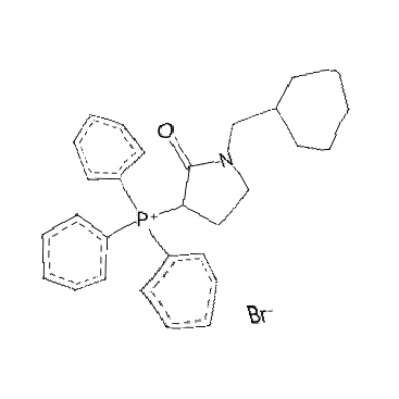 O=C1C([P+](c2ccccc2)(c2ccccc2)c2ccccc2)CCN1CC1CCCCC1.[Br-]